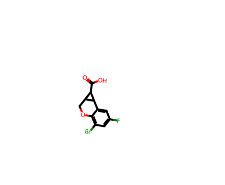 O=C(O)C1C2COc3c(Br)cc(F)cc3C21